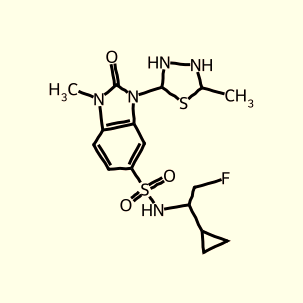 CC1NNC(n2c(=O)n(C)c3ccc(S(=O)(=O)NC(CF)C4CC4)cc32)S1